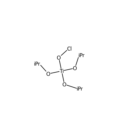 CC(C)[O][Ti]([O]Cl)([O]C(C)C)[O]C(C)C